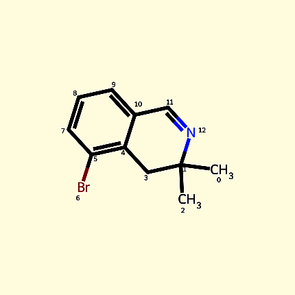 CC1(C)Cc2c(Br)cccc2C=N1